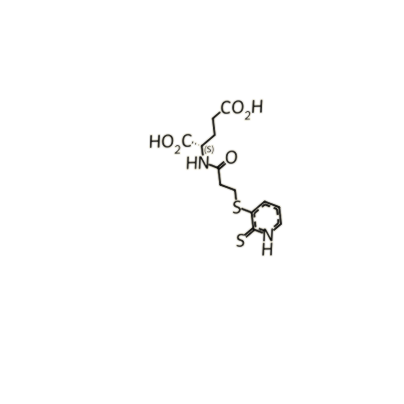 O=C(O)CC[C@H](NC(=O)CCSc1ccc[nH]c1=S)C(=O)O